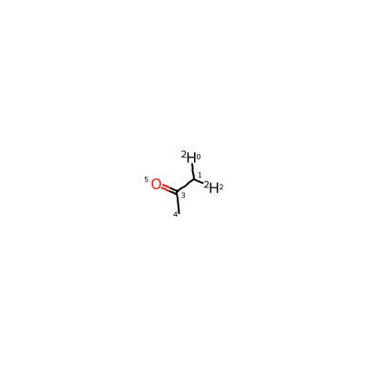 [2H]C([2H])C(C)=O